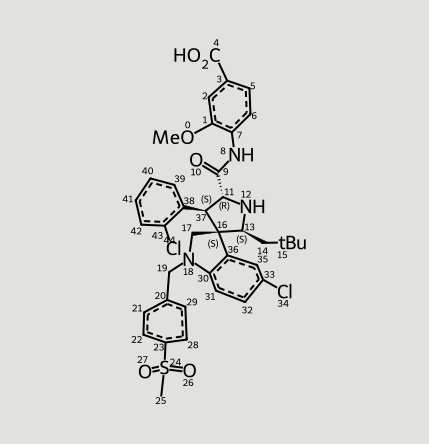 COc1cc(C(=O)O)ccc1NC(=O)[C@@H]1N[C@@H](CC(C)(C)C)[C@@]2(CN(Cc3ccc(S(C)(=O)=O)cc3)c3ccc(Cl)cc32)[C@H]1c1ccccc1Cl